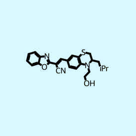 CC(C)CC1CSc2cc(/C=C(\C#N)c3nc4ccccc4o3)ccc2N1CCO